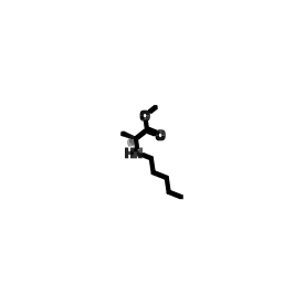 CCCCCN[C@@H](C)C(=O)OC